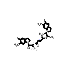 Cc1cc2c(cc1F)CCN2C(N)C(C)OC(=O)/C=C/C(=O)OC(C)C(N)N1CCc2cc(F)c(C)cc21